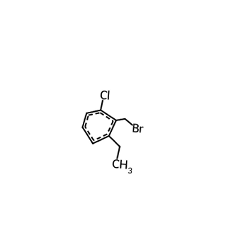 CCc1cccc(Cl)c1CBr